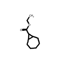 CCOC(=O)C1C2CCCCCC21